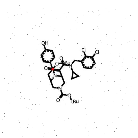 CC(C)(C)OC(=O)N1CC2CC(c3ccc(O)cc3)=C(C(=O)N(Cc3cccc(Cl)c3Cl)C3CC3)C(C1)N2C(=O)OC(C)(C)C